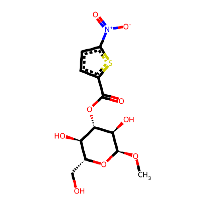 CO[C@H]1O[C@H](CO)[C@@H](O)[C@H](OC(=O)c2ccc([N+](=O)[O-])s2)[C@H]1O